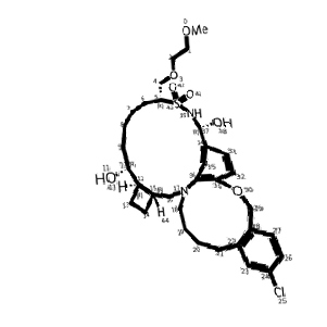 COCCOC[C@H]1CCCC[C@@H](O)[C@@H]2CC[C@H]2CN2CCCCc3cc(Cl)ccc3COc3ccc(cc32)[C@@H](O)NS1(=O)=O